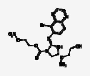 O=C(OCCO[N+](=O)[O-])N1CCNC1=Nc1ccc2nccnc2c1Br.O=[N+]([O-])OCCO